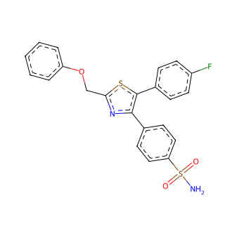 NS(=O)(=O)c1ccc(-c2nc(COc3ccccc3)sc2-c2ccc(F)cc2)cc1